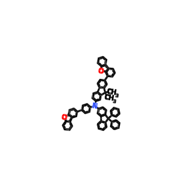 CC1(C)c2cc(-c3cccc4c3oc3ccccc34)ccc2-c2ccc(N(c3ccc(-c4ccc5oc6ccccc6c5c4)cc3)c3ccc4c(c3)-c3ccccc3C4(c3ccccc3)c3ccccc3)cc21